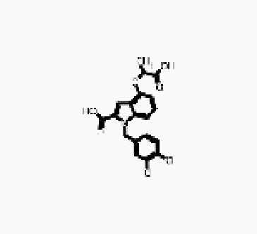 CC(Oc1cccc2c1cc(C(=O)O)n2Cc1ccc(Cl)c(Cl)c1)C(=O)O